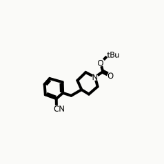 CC(C)(C)OC(=O)N1CCC(Cc2ccccc2C#N)CC1